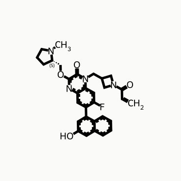 C=CC(=O)N1CC(Cn2c(=O)c(OC[C@@H]3CCCN3C)nc3cc(-c4cc(O)cc5ccccc45)c(F)cc32)C1